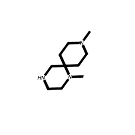 CN1CCC2(CC1)CNCCN2C